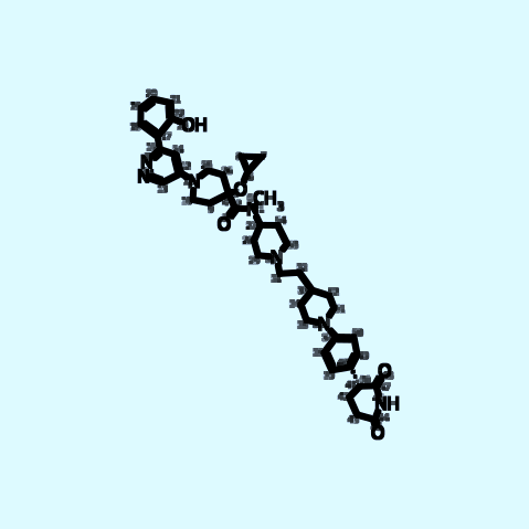 CN(C(=O)C1(OC2CC2)CCN(c2cnnc(-c3ccccc3O)c2)CC1)C1CCN(CCC2CCN(c3ccc([C@H]4CCC(=O)NC4=O)cc3)CC2)CC1